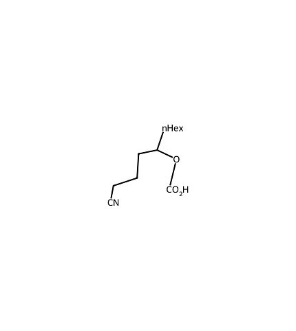 CCCCCCC(CCCC#N)OC(=O)O